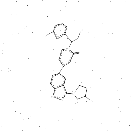 O=c1cc(-c2ccc3[nH]nc(N4CCC(O)C4)c3c2)ccn1C(CO)c1cccc(Cl)c1